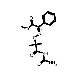 COC(=O)/C(=N\OC(C)(C)C(=O)NC(N)=O)c1ccccc1